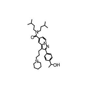 CC(C)CCN(CCC(C)C)C(=O)c1ccn2nc(-c3ccc(C(C)O)cc3)c(CCCN3CCCCC3)c2c1